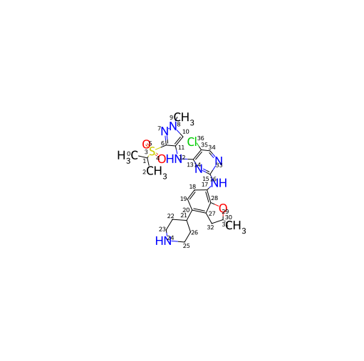 CC(C)S(=O)(=O)c1nn(C)cc1Nc1nc(Nc2ccc(C3CCNCC3)c3c2O[C@H](C)C3)ncc1Cl